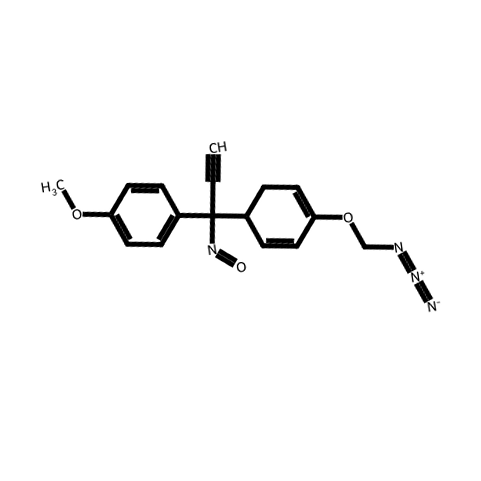 C#CC(N=O)(c1ccc(OC)cc1)C1C=CC(OCN=[N+]=[N-])=CC1